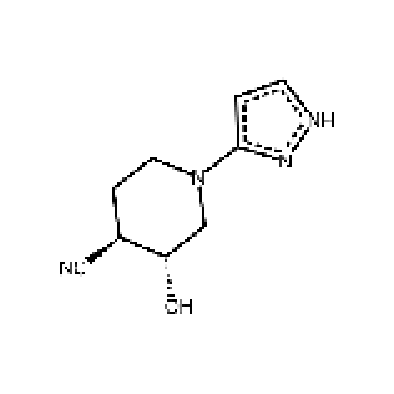 N#C[C@H]1CCN(c2cc[nH]n2)C[C@@H]1O